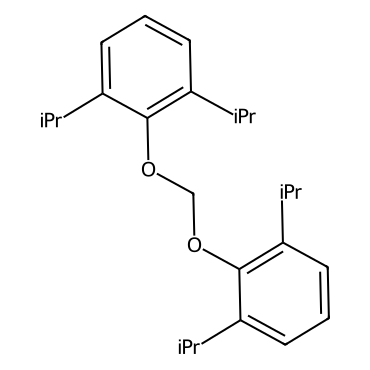 CC(C)c1cccc(C(C)C)c1OCOc1c(C(C)C)cccc1C(C)C